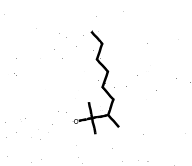 CCCCCCC(C)C(C)(C)[O]